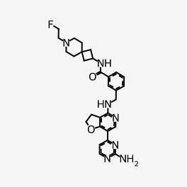 Nc1nccc(-c2cnc(NCc3cccc(C(=O)NC4CC5(CCN(CCF)CC5)C4)c3)c3c2OCC3)n1